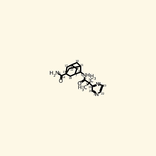 CC(C)(C(=O)NC1C2CC3CC1CC(C(N)=O)(C3)C2)c1cnccn1